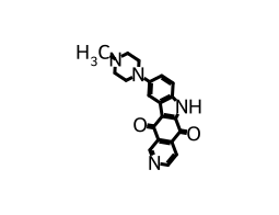 CN1CCN(c2ccc3[nH]c4c(c3c2)C(=O)c2cnccc2C4=O)CC1